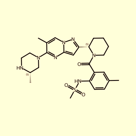 Cc1ccc(NS(C)(=O)=O)c(C(=O)N2CCCC[C@H]2c2cc3nc(N4CCN[C@@H](C)C4)c(C)cn3n2)c1